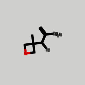 C=C(C(=O)O)C(CC)C1(C)COC1